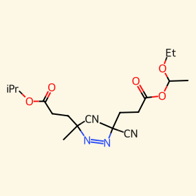 CCOC(C)OC(=O)CCC(C)(C#N)/N=N\C(C)(C#N)CCC(=O)OC(C)C